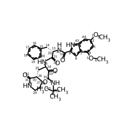 COc1cc(OC)c2cc(C(=O)N[C@@H](Cc3ccccc3)C(=O)NC(C[C@@H]3CCCNC3=O)C(=O)C(=O)NC(C)(C)C)[nH]c2c1